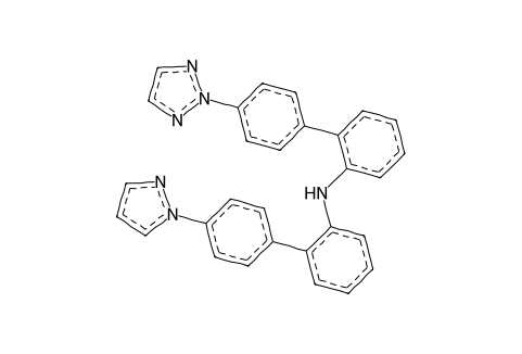 c1ccc(-c2ccc(-n3cccn3)cc2)c(Nc2ccccc2-c2ccc(-n3nccn3)cc2)c1